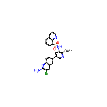 COc1ncc(-c2ccc3nc(N)c(Br)cc3c2)cc1NS(=O)(=O)c1cccc2cccnc12